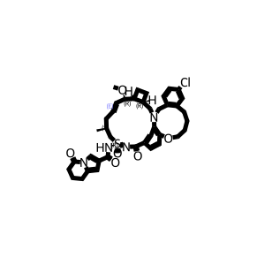 CO[C@H]1/C=C/C[C@H](C)C[S@@](=O)(NC(=O)c2cc3n(c2)C(=O)CCC3)=NC(=O)c2ccc3c(c2)N(Cc2ccc(Cl)cc2CCCCO3)C[C@@H]2CC[C@H]21